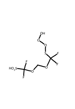 O=S(=O)(O)C(F)(F)OCOC(F)(F)SOOO